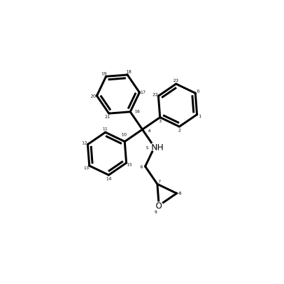 c1ccc(C(NCC2CO2)(c2ccccc2)c2ccccc2)cc1